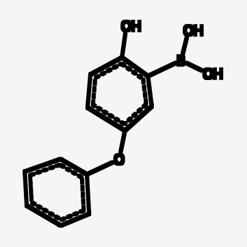 OB(O)c1cc(Oc2ccccc2)ccc1O